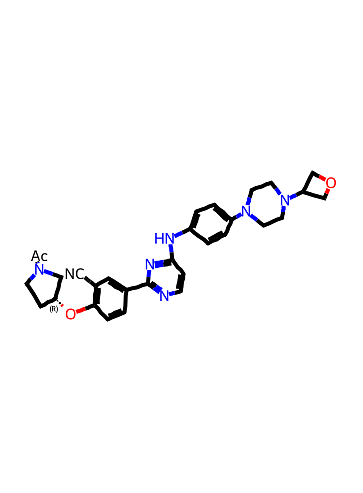 CC(=O)N1CC[C@@H](Oc2ccc(-c3nccc(Nc4ccc(N5CCN(C6COC6)CC5)cc4)n3)cc2C#N)C1